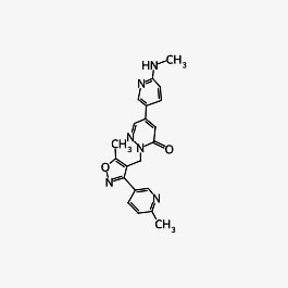 CNc1ccc(-c2cnn(Cc3c(-c4ccc(C)nc4)noc3C)c(=O)c2)cn1